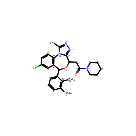 COc1cccc(C2OC(CC(=O)N3CCCCC3)c3nnc(C(C)C)n3-c3ccc(Cl)cc32)c1OC